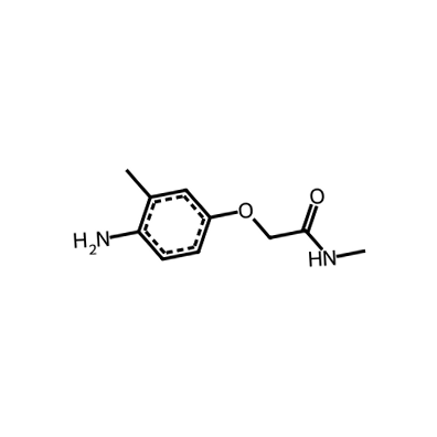 CNC(=O)COc1ccc(N)c(C)c1